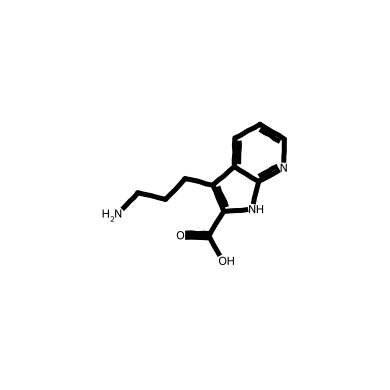 NCCCc1c(C(=O)O)[nH]c2ncccc12